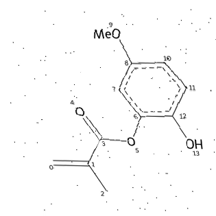 C=C(C)C(=O)Oc1cc(OC)ccc1O